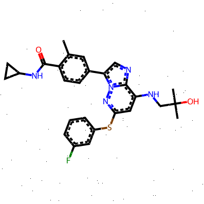 Cc1cc(-c2cnc3c(NCC(C)(C)O)cc(Sc4cccc(F)c4)nn23)ccc1C(=O)NC1CC1